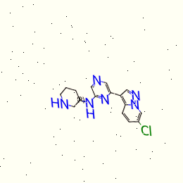 Clc1ccc2c(-c3cncc(N[C@@H]4CCCNC4)n3)cnn2c1